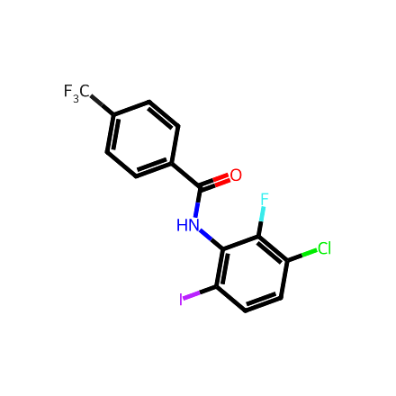 O=C(Nc1c(I)ccc(Cl)c1F)c1ccc(C(F)(F)F)cc1